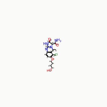 CC1c2c(ccc(OCCCCO)c2Cl)N=C2NC(=O)C(C(N)=O)N21